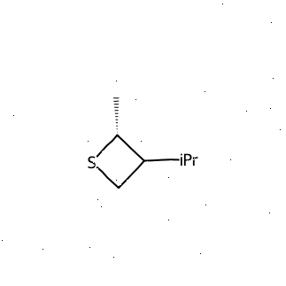 CC(C)C1CS[C@@H]1C